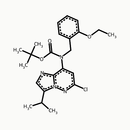 CCOc1ccccc1CN(C(=O)OC(C)(C)C)c1cc(Cl)nn2c(C(C)C)cnc12